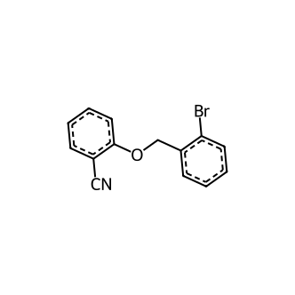 N#Cc1ccccc1OCc1ccccc1Br